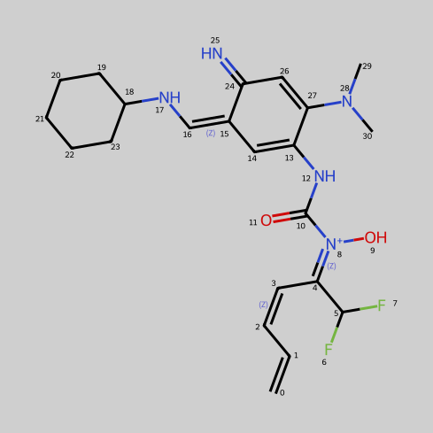 C=C/C=C\C(C(F)F)=[N+](\O)C(=O)NC1=C/C(=C/NC2CCCCC2)C(=N)C=C1N(C)C